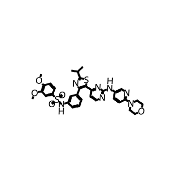 COc1ccc(S(=O)(=O)Nc2cccc(-c3nc(C(C)C)sc3-c3ccnc(Nc4ccc(N5CCOCC5)nc4)n3)c2)cc1OC